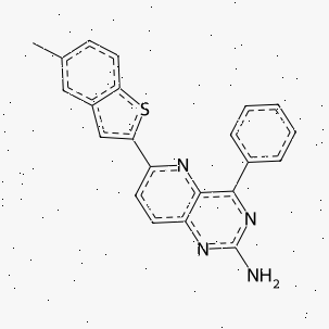 Cc1ccc2sc(-c3ccc4nc(N)nc(-c5ccccc5)c4n3)cc2c1